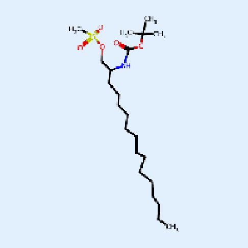 CCCCCCCCCCCCCCC(COS(C)(=O)=O)NC(=O)OC(C)(C)C